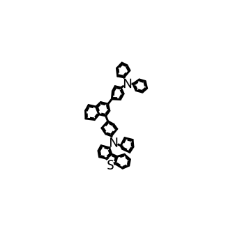 c1ccc(N(c2ccccc2)c2ccc(-c3cc(-c4ccc(N(c5ccccc5)c5cccc6sc7ccccc7c56)cc4)c4ccccc4c3)cc2)cc1